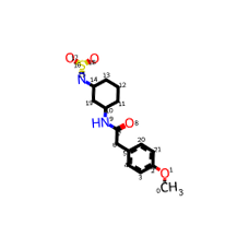 COc1ccc(CC(=O)NC2CCCC(N=S(=O)=O)C2)cc1